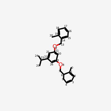 CC1=CC=CCC1COc1cc(OCc2ccccc2C)cc(C(C)C)c1